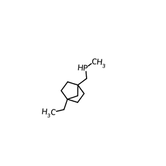 CCC12CCC(CPC)(CC1)C2